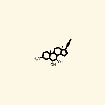 CC#CC1=CCC2C3C(CC[C@]12C)[C@@]1(C)CC[C@H](N)CC1[C@@H](O)[C@@H]3O